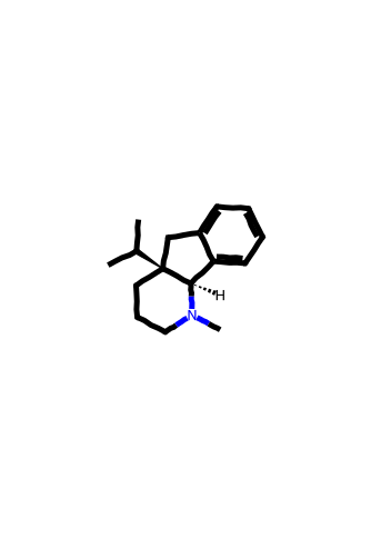 CC(C)[C@]12CCCN(C)[C@@H]1c1ccccc1C2